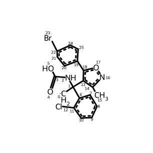 [CH2]C(NC(=O)O)(c1ccccc1Cl)c1c(C)noc1-c1ccc(Br)cc1